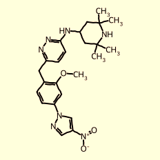 COc1cc(-n2cc([N+](=O)[O-])cn2)ccc1Cc1ccc(NC2CC(C)(C)NC(C)(C)C2)nn1